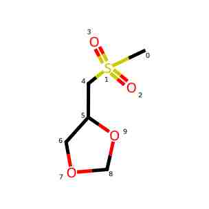 CS(=O)(=O)CC1COCO1